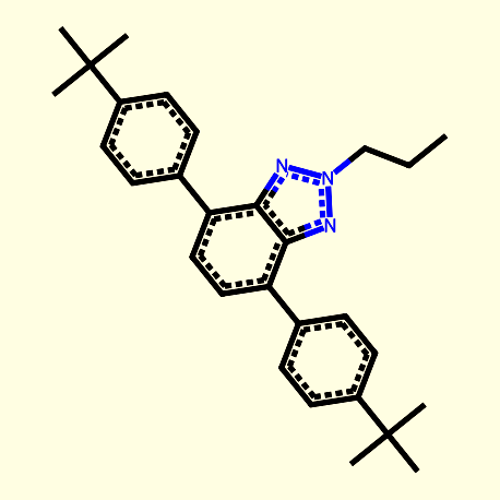 CCCn1nc2c(-c3ccc(C(C)(C)C)cc3)ccc(-c3ccc(C(C)(C)C)cc3)c2n1